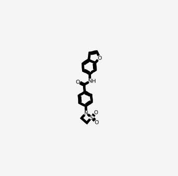 O=C(Nc1ccc2ccoc2c1)c1ccc(N2CCS2(=O)=O)cc1